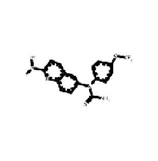 CC(C)N(C)c1ccc2cc(N(C(N)=O)c3ccc(OC(F)(F)F)cc3)ccc2n1